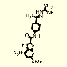 COc1cc([N+](=O)[O-])c2[nH]c(C(=O)Nc3ccc(/C(C)=N/NC(C)=N)cc3)cc2c1